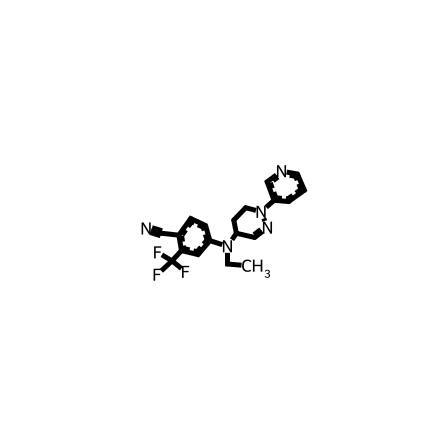 CCN(c1ccc(C#N)c(C(F)(F)F)c1)C1C=NN(c2cccnc2)CC1